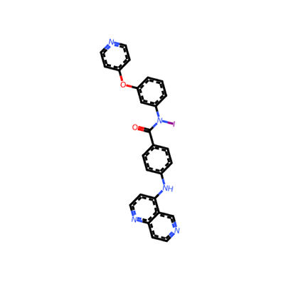 O=C(c1ccc(Nc2ccnc3ccncc23)cc1)N(I)c1cccc(Oc2ccncc2)c1